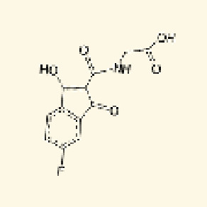 O=C(O)CNC(=O)C1=C(O)c2ccc(F)cc2C1=O